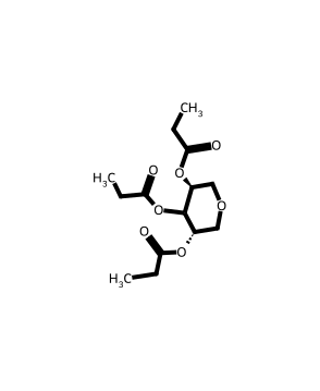 CCC(=O)OC1[C@@H](OC(=O)CC)COC[C@@H]1OC(=O)CC